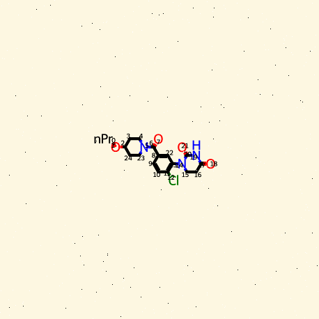 CCCOC1CCN(C(=O)c2ccc(Cl)c(N3CCC(=O)NC3=O)c2)CC1